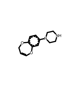 C1=COc2cc(N3CCNCC3)ccc2OC1